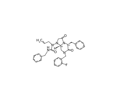 C=CCN(C(=O)NCc1ccccc1)N1CC(=O)N2[C@@H](Cc3ccccc3)C(=O)N(Cc3ccccc3F)C[C@@H]21